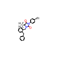 CC(C)c1ccc(N2C(=O)N(Cc3ccccc3Cc3ccccc3)C(C)(C)C2=O)cc1